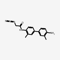 Cc1cc(-c2ccc(NC(=O)CN=[N+]=[N-])c(C)c2)ccc1N